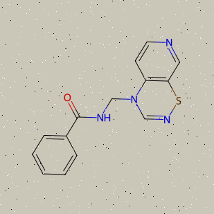 O=C(NCN1C=NSc2cnccc21)c1ccccc1